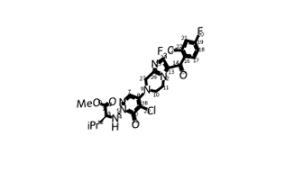 COC(=O)[C@@H](Nn1ncc(N2CCn3c(C(=O)c4ccc(F)cc4C(F)(F)F)cnc3C2)c(Cl)c1=O)C(C)C